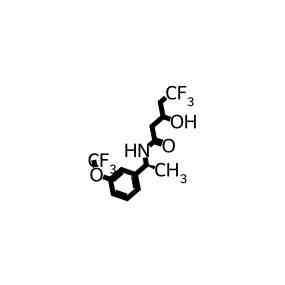 C[C@H](NC(=O)CC(O)CC(F)(F)F)c1cccc(OC(F)(F)F)c1